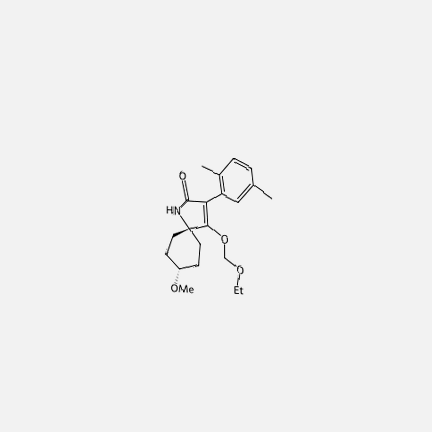 CCOCOC1=C(c2cc(C)ccc2C)C(=O)N[C@]12CC[C@@H](OC)CC2